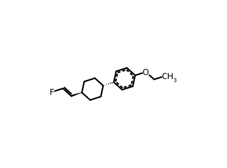 CCOc1ccc([C@H]2CC[C@H](C=CF)CC2)cc1